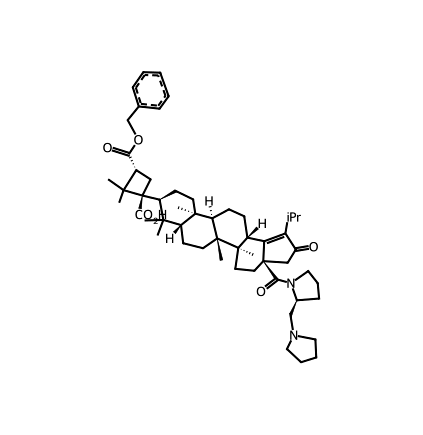 CC(C)C1=C2[C@H]3CC[C@@H]4[C@]5(C)CC[C@H]([C@@]6(C(=O)O)C[C@@H](C(=O)OCc7ccccc7)C6(C)C)C(C)(C)[C@H]5CC[C@@]4(C)[C@]3(C)CC[C@@]2(C(=O)N2CCC[C@H]2CN2CCCC2)CC1=O